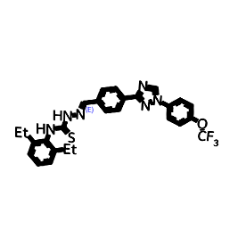 CCc1cccc(CC)c1NC(=S)N/N=C/c1ccc(-c2ncn(-c3ccc(OC(F)(F)F)cc3)n2)cc1